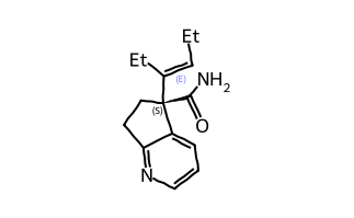 CC/C=C(\CC)[C@@]1(C(N)=O)CCc2ncccc21